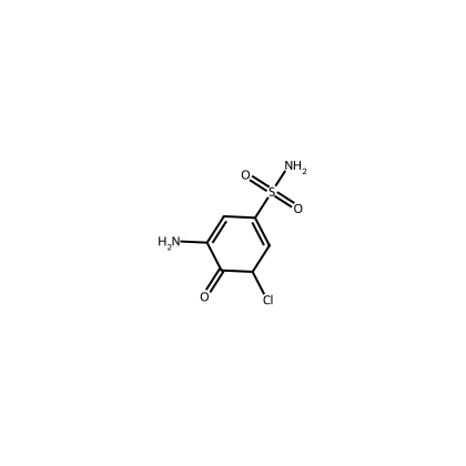 NC1=CC(S(N)(=O)=O)=CC(Cl)C1=O